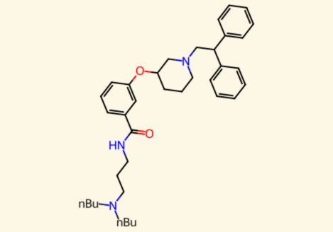 CCCCN(CCCC)CCCNC(=O)c1cccc(OC2CCCN(CC(c3ccccc3)c3ccccc3)C2)c1